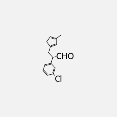 CC1=CCC(CC(C=O)c2cccc(Cl)c2)=C1